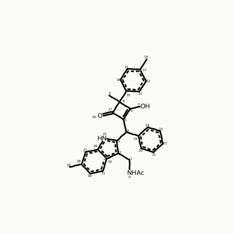 CC(=O)NCc1c(C(C2=C(O)C(C)(c3ccc(C)cc3)C2=O)c2ccccc2)[nH]c2cc(C)ccc12